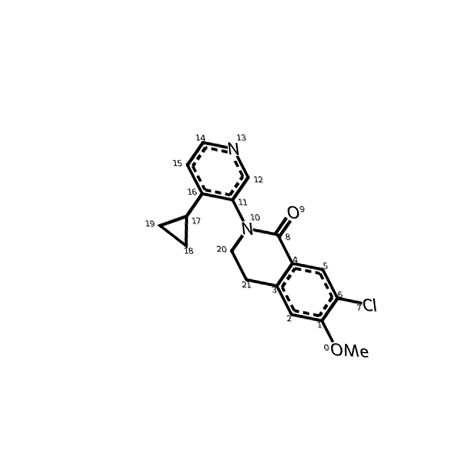 COc1cc2c(cc1Cl)C(=O)N(c1cnccc1C1CC1)CC2